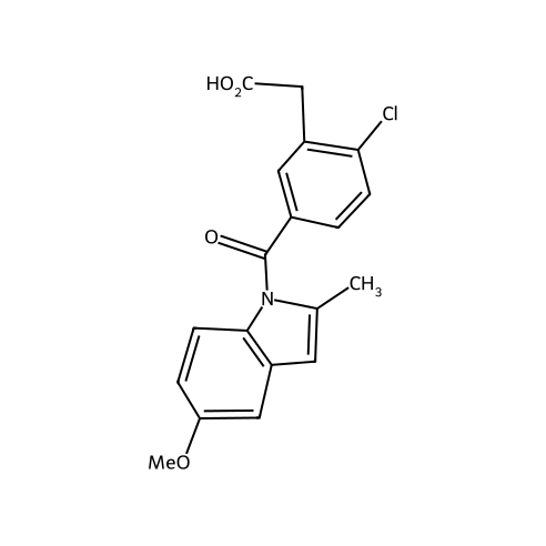 COc1ccc2c(c1)cc(C)n2C(=O)c1ccc(Cl)c(CC(=O)O)c1